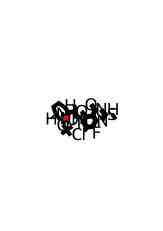 CSc1nc2c(F)c(Cl)nc(OC(C)(C)C3NC[C@@H]4CC[C@H]3N4C(=O)OC(C)(C)C)c2c(=O)[nH]1